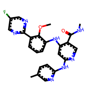 CNC(=O)c1cnc(Nc2ccc(C)cn2)cc1Nc1cccc(-c2ncc(F)cn2)c1OC